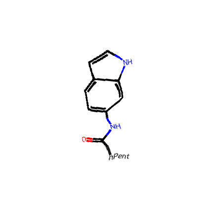 CCCCCC(=O)Nc1ccc2cc[nH]c2c1